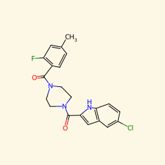 Cc1ccc(C(=O)N2CCN(C(=O)c3cc4cc(Cl)ccc4[nH]3)CC2)c(F)c1